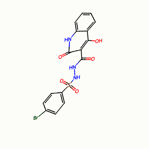 O=C(NNS(=O)(=O)c1ccc(Br)cc1)c1c(O)c2ccccc2[nH]c1=O